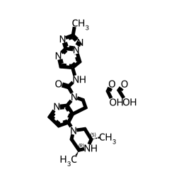 Cc1nc2ncc(NC(=O)N3CCc4c(N5C[C@@H](C)N[C@@H](C)C5)ccnc43)cn2n1.O=CO.O=CO